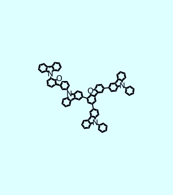 c1ccc(-n2c3ccccc3c3cc(-c4ccc5oc6c(-c7ccc8c(c7)c7ccccc7n8-c7ccc8oc9c(-n%10c%11ccccc%11c%11ccccc%11%10)cccc9c8c7)cc(-c7ccc8c(c7)c7ccccc7n8-c7ccccc7)cc6c5c4)ccc32)cc1